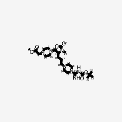 COC(=O)CN1CCN(C2OC(=O)N(C)C2CCCN2CCN(C(=N)NC(=O)OC(C)(C)C)CC2)CC1